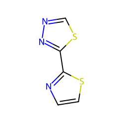 c1csc(-c2nncs2)n1